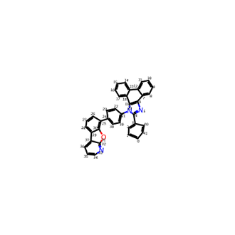 c1ccc(-c2nc3c4ccccc4c4ccccc4c3n2-c2ccc(-c3cccc4c3oc3ncccc34)cc2)cc1